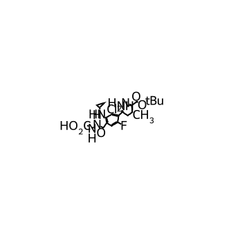 CC(CC(=N)c1c(F)cc(C(=O)NNC(=O)O)c(NC2CC2)c1Cl)C(N)C(=O)OC(C)(C)C